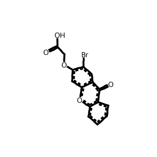 O=C(O)COc1cc2oc3ccccc3c(=O)c2cc1Br